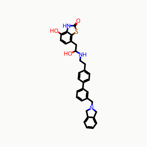 O=c1[nH]c2c(O)ccc(CC(O)NCCc3ccc(-c4cccc(CN5Cc6ccccc6C5)c4)cc3)c2s1